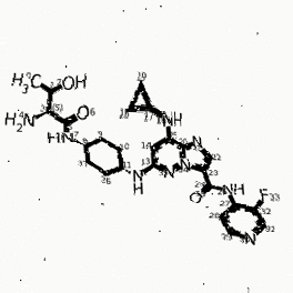 CC(O)[C@H](N)C(=O)N[C@H]1CC[C@H](Nc2cc(NC3CC3)c3ncc(C(=O)Nc4ccncc4F)n3n2)CC1